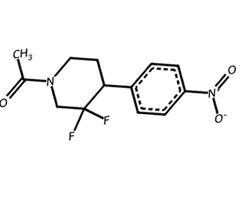 CC(=O)N1CCC(c2ccc([N+](=O)[O-])cc2)C(F)(F)C1